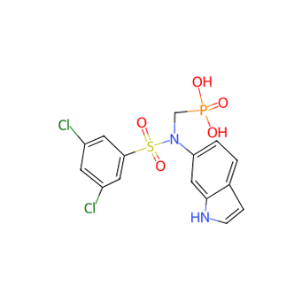 O=P(O)(O)CN(c1ccc2cc[nH]c2c1)S(=O)(=O)c1cc(Cl)cc(Cl)c1